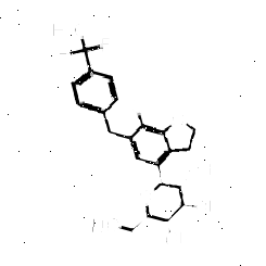 CC(F)(F)c1ccc(Cc2cc([C@@H]3O[C@H](CO)[C@@H](O)[C@H](O)[C@H]3O)c3c(c2Cl)OCC3)cc1